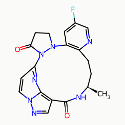 C[C@@H]1CCc2ncc(F)cc2N2CCC(=O)N2c2ccn3ncc(c3n2)C(=O)N1